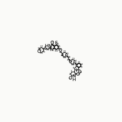 O=C1CCC(N2Cc3c(cccc3N3CCN(CCN4CCC(COc5cc(F)c6c(=O)[nH]c(CSC7CCOCC7)nc6c5)CC4)CC3)C2=O)C(=O)N1